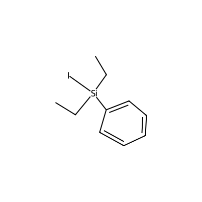 CC[Si](I)(CC)c1ccccc1